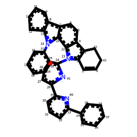 C1=Cc2c(c3ccc4c5ccccc5n(-c5ccccc5)c4c3n2-c2cccc(-c3cccc(-c4ccccc4)n3)n2)CC1